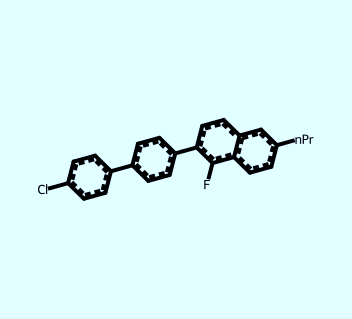 CCCc1ccc2c(F)c(-c3ccc(-c4ccc(Cl)cc4)cc3)ccc2c1